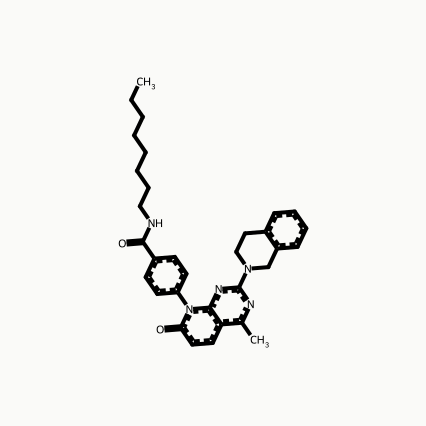 CCCCCCCCNC(=O)c1ccc(-n2c(=O)ccc3c(C)nc(N4CCc5ccccc5C4)nc32)cc1